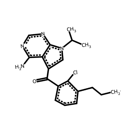 [CH2]CCc1cccc(C(=O)c2cn(C(C)C)c3ncnc(N)c23)c1Cl